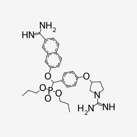 CCCOP(=O)(OCCC)C(Oc1ccc2ccc(C(=N)N)cc2c1)c1ccc(OC2CCN(C(=N)N)C2)cc1